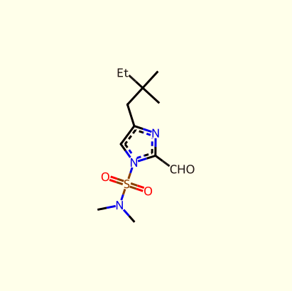 CCC(C)(C)Cc1cn(S(=O)(=O)N(C)C)c(C=O)n1